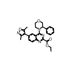 CCOC(=O)c1nc(N2CCOCC2c2ccccc2)c2cc(-c3c(C)noc3C)ccc2n1